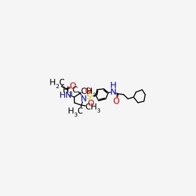 C=CC(=O)NC1CC(C)(C)N(S(=O)(=O)c2ccc(NC(=O)CCC3CCCCC3)cc2)C1(C)C